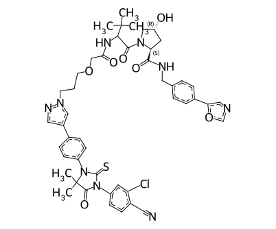 CC(C)(C)C(NC(=O)COCCCn1cc(-c2ccc(N3C(=S)N(c4ccc(C#N)c(Cl)c4)C(=O)C3(C)C)cc2)cn1)C(=O)N1C[C@H](O)C[C@H]1C(=O)NCc1ccc(-c2cnco2)cc1